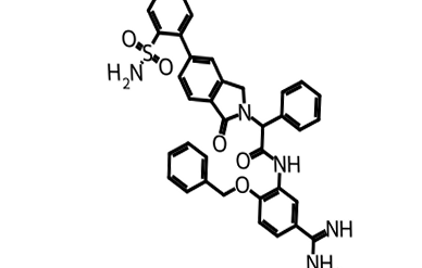 N=C(N)c1ccc(OCc2ccccc2)c(NC(=O)C(c2ccccc2)N2Cc3cc(-c4ccccc4S(N)(=O)=O)ccc3C2=O)c1